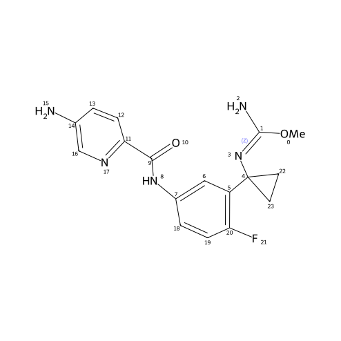 CO/C(N)=N\C1(c2cc(NC(=O)c3ccc(N)cn3)ccc2F)CC1